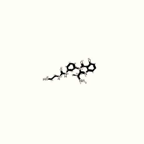 C[C@H](N)c1nc2cccc(Cl)c2c(=O)n1-c1cccc(NC(=O)NCCO)c1